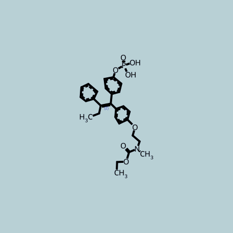 CCOC(=O)N(C)CCOc1ccc(/C(=C(\CC)c2ccccc2)c2ccc(OP(=O)(O)O)cc2)cc1